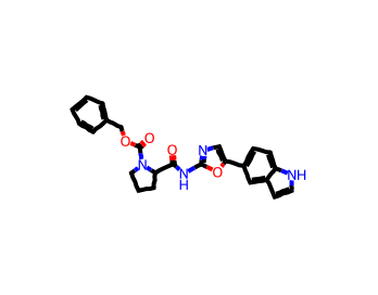 O=C(Nc1ncc(-c2ccc3[nH]ccc3c2)o1)C1CCCN1C(=O)OCc1ccccc1